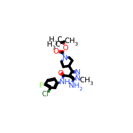 Cn1nc(C2CCN(C(=O)OC(C)(C)C)CC2)c(C(=O)Nc2ccc(F)c(Cl)c2)c1N